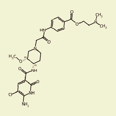 CO[C@@H]1CN(CC(=O)Nc2ccc(C(=O)OCCN(C)C)cc2)CC[C@@H]1NC(=O)c1cc(Cl)c(N)[nH]c1=O